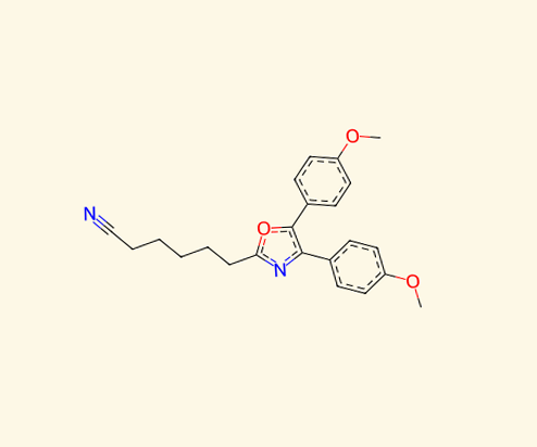 COc1ccc(-c2nc(CCCCCC#N)oc2-c2ccc(OC)cc2)cc1